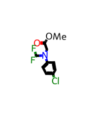 COC(=O)CN(c1ccc(Cl)cc1)C(F)F